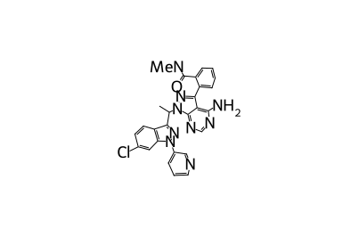 CNC(=O)c1ccccc1-c1nn(C(C)c2nn(-c3cccnc3)c3cc(Cl)ccc23)c2ncnc(N)c12